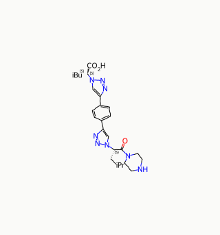 CC[C@H](C)[C@@H](C(=O)O)n1cc(-c2ccc(-c3cn([C@@H](CC(C)C)C(=O)N4CCNCC4)nn3)cc2)nn1